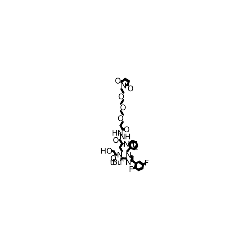 CC(C)(C)[C@H](c1nc(-c2cc(F)ccc2F)cn1Cc1ccccc1)N(CC[C@H](N)C(=O)NNC(=O)CCOCCOCCOCCN1C(=O)C=CC1=O)C(=O)CO